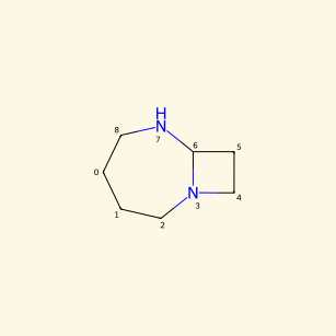 C1CCN2CCC2NC1